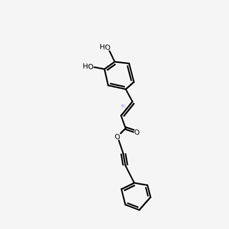 O=C(/C=C/c1ccc(O)c(O)c1)OC#Cc1ccccc1